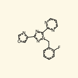 Fc1ccccc1Cn1nc(-c2cocn2)nc1-c1ncccn1